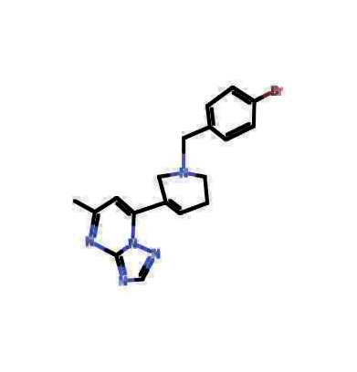 Cc1cc(C2=CCCN(Cc3ccc(Br)cc3)C2)n2ncnc2n1